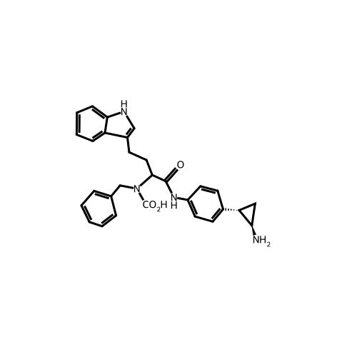 N[C@@H]1C[C@H]1c1ccc(NC(=O)C(CCc2c[nH]c3ccccc23)N(Cc2ccccc2)C(=O)O)cc1